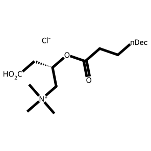 CCCCCCCCCCCCC(=O)O[C@@H](CC(=O)O)C[N+](C)(C)C.[Cl-]